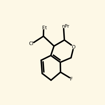 CCCC1OCC2=C(C=CCC2F)C1C(Cl)CC